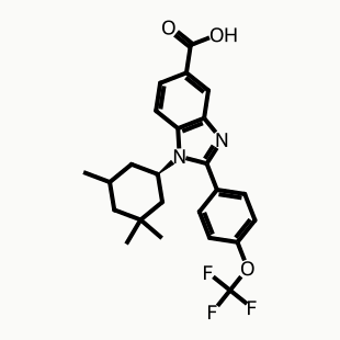 CC1C[C@@H](n2c(-c3ccc(OC(F)(F)F)cc3)nc3cc(C(=O)O)ccc32)CC(C)(C)C1